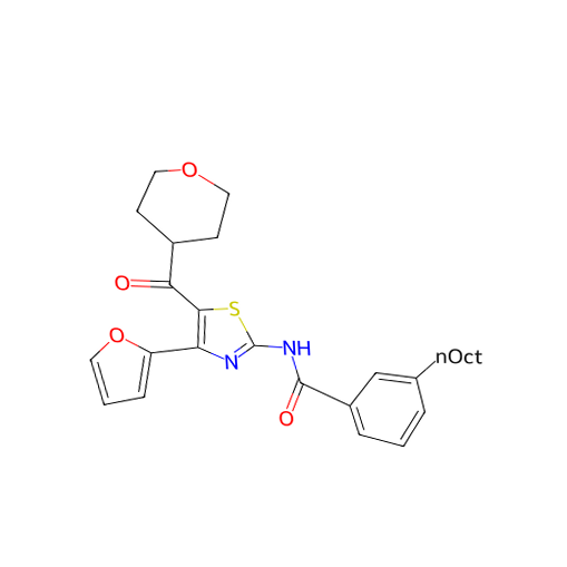 CCCCCCCCc1cccc(C(=O)Nc2nc(-c3ccco3)c(C(=O)C3CCOCC3)s2)c1